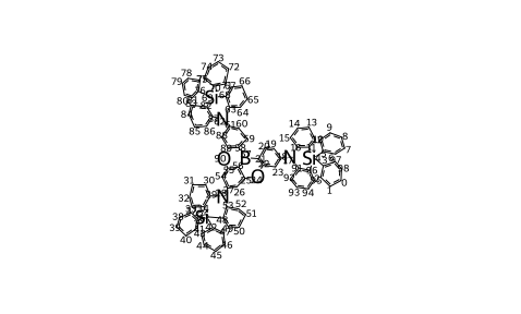 c1ccc([Si]2(c3ccccc3)c3ccccc3N(c3ccc4c(c3)Oc3cc(N5c6ccccc6[Si](c6ccccc6)(c6ccccc6)c6ccccc65)cc5c3B4c3ccc(N4c6ccccc6[Si](c6ccccc6)(c6ccccc6)c6ccccc64)cc3O5)c3ccccc32)cc1